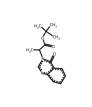 CC(C(=O)OC(C)(C)C)n1cnc2ccccc2c1=O